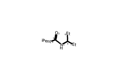 CCCC(C)C(=O)NC(CC)CC